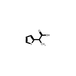 CC(C(=O)O)c1cccs1